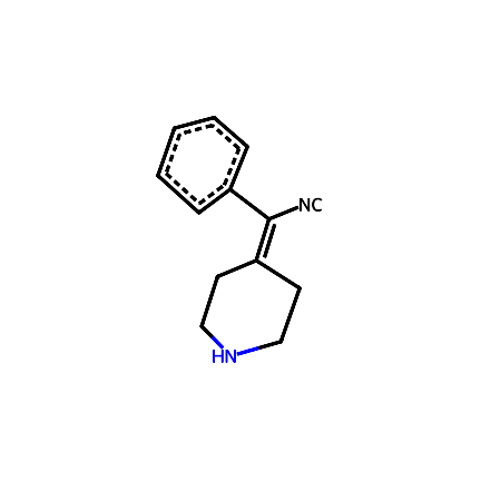 [C-]#[N+]C(=C1CCNCC1)c1ccccc1